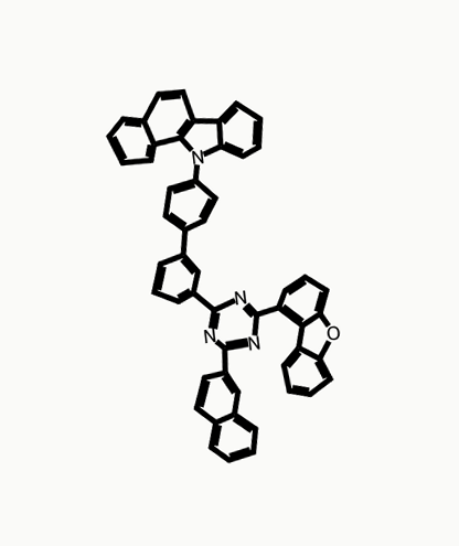 c1cc(-c2ccc(-n3c4ccccc4c4ccc5ccccc5c43)cc2)cc(-c2nc(-c3ccc4ccccc4c3)nc(-c3cccc4oc5ccccc5c34)n2)c1